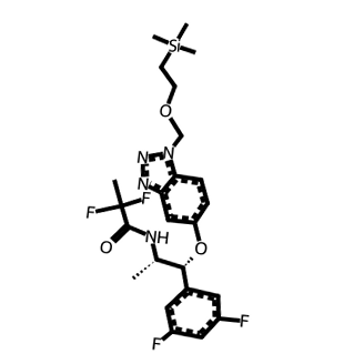 C[C@H](NC(=O)C(C)(F)F)[C@H](Oc1ccc2c(c1)nnn2COCC[Si](C)(C)C)c1cc(F)cc(F)c1